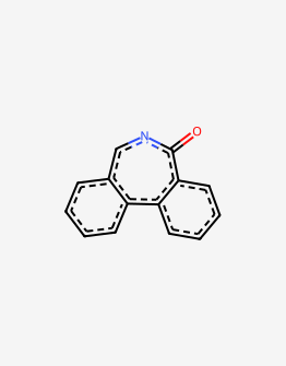 O=c1ncc2ccccc2c2ccccc12